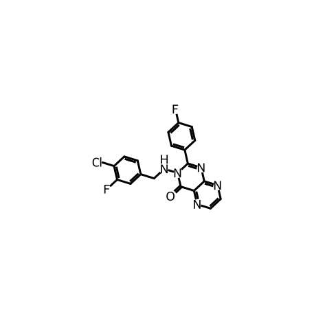 O=c1c2nccnc2nc(-c2ccc(F)cc2)n1NCc1ccc(Cl)c(F)c1